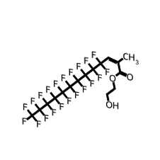 CC(=CC(F)(F)C(F)(F)C(F)(F)C(F)(F)C(F)(F)C(F)(F)C(F)(F)C(F)(F)C(F)(F)C(F)(F)F)C(=O)OCCO